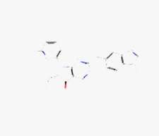 CCn1c(=O)c2cnc(Nc3ccc4c(c3)ncn4C)nc2n1-c1cccc(F)n1